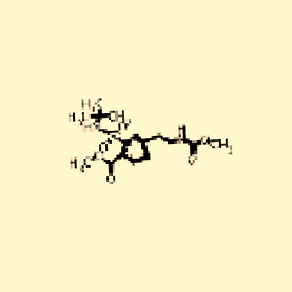 COC(=O)NCCc1ccc(C(=O)OC)c(S(=O)(=O)NC(C)(C)C)c1